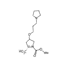 CC(C)(C)OC(=O)N1CC(OCCCN2CCCC2)C[C@H]1C(=O)O